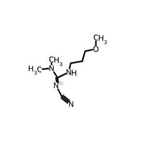 COCCCN/C(=N\C#N)N(C)C